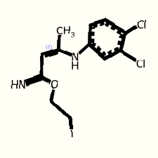 C/C(=C/C(=N)OCCI)Nc1ccc(Cl)c(Cl)c1